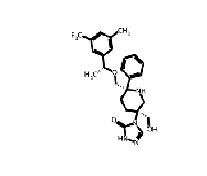 Cc1cc([C@@H](C)OC[C@@]2(c3ccccc3)CC[C@](CO)(n3cn[nH]c3=O)CN2)cc(C(F)(F)F)c1